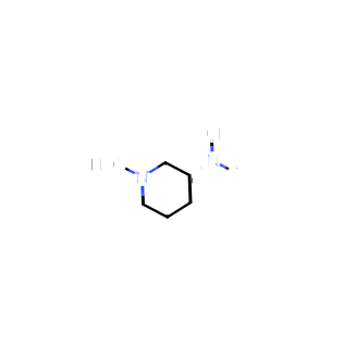 CC(=O)N(C)[C@@H]1CCCN(C)C1